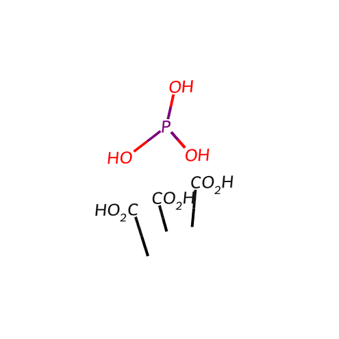 CC(=O)O.CC(=O)O.CC(=O)O.OP(O)O